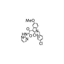 COc1ccc2c(c1)c(C(=O)C(=O)Nc1ncccn1)c(C)n2Cc1ccc(Cl)cc1